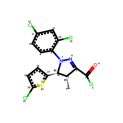 C[C@H]1C(C(=O)Cl)=NN(c2ccc(Cl)cc2Cl)[C@H]1c1ccc(Cl)s1